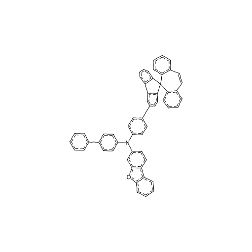 C1=Cc2ccccc2C2(c3ccccc31)c1ccccc1-c1cc(-c3ccc(N(c4ccc(-c5ccccc5)cc4)c4ccc5c(c4)oc4ccccc45)cc3)ccc12